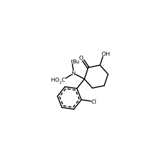 CC(C)(C)N(C(=O)O)C1(c2ccccc2Cl)CCCC(O)C1=O